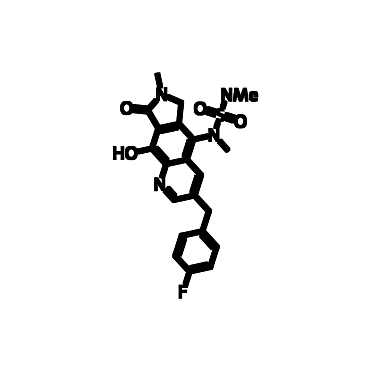 CNS(=O)(=O)N(C)c1c2c(c(O)c3ncc(Cc4ccc(F)cc4)cc13)C(=O)N(C)C2